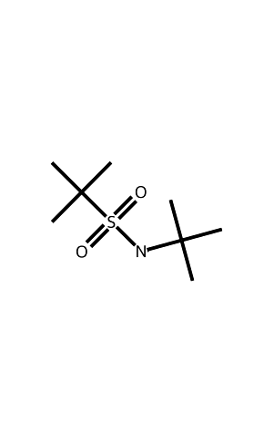 CC(C)(C)[N]S(=O)(=O)C(C)(C)C